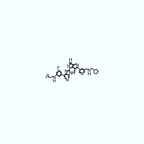 CN(C)CCNc1cc(F)cc(-c2cncc3[nH]c(-c4n[nH]c5cnc(-c6cncc(CNCC7CCCC7)c6)c(F)c45)nc23)c1